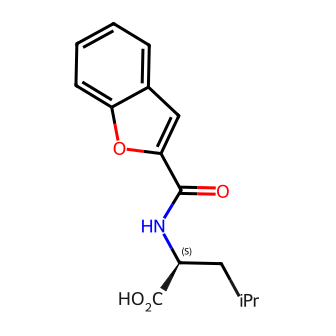 CC(C)C[C@H](NC(=O)c1cc2ccccc2o1)C(=O)O